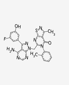 Cc1ccccc1-n1c(Cn2nc(-c3cc(O)cc(F)c3)c3c(N)ncnc32)nc2snc(C)c2c1=O